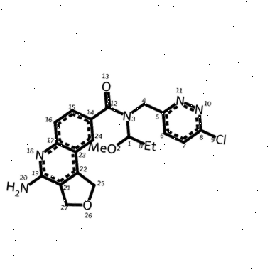 CCC(OC)N(Cc1ccc(Cl)nn1)C(=O)c1ccc2nc(N)c3c(c2c1)COC3